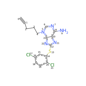 C#CCCCn1cnc(N)c2nc(Sc3cc(Cl)ccc3Cl)nc1-2